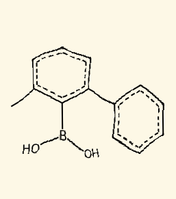 Cc1cccc(-c2ccccc2)c1B(O)O